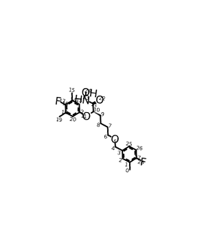 Cc1cc(COCCCC[C@@H](Oc2cc(C)c(F)c(C)c2)C(=O)NO)ccc1F